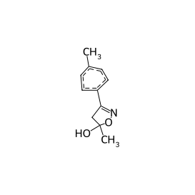 Cc1ccc(C2=NOC(C)(O)C2)cc1